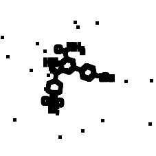 CCS(=O)(=O)N1CCC(c2c[nH]c3c(C(N)=O)cc(-c4ccc(C(C)(C)C)cc4)cc23)CC1